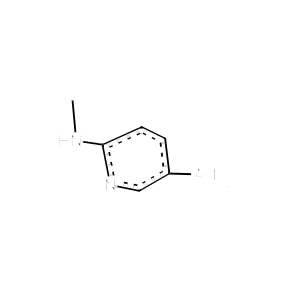 CNc1ccc([AsH2])cn1